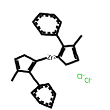 CC1=CC[C]([Zr+2][C]2=C(c3ccccc3)C(C)=CC2)=C1c1ccccc1.[Cl-].[Cl-]